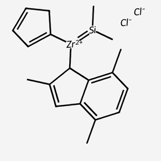 CC1=Cc2c(C)ccc(C)c2[CH]1[Zr+2]([C]1=CC=CC1)=[Si](C)C.[Cl-].[Cl-]